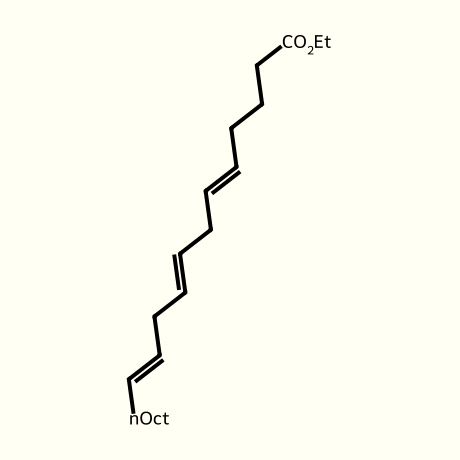 CCCCCCCC/C=C/C/C=C/C/C=C/CCCC(=O)OCC